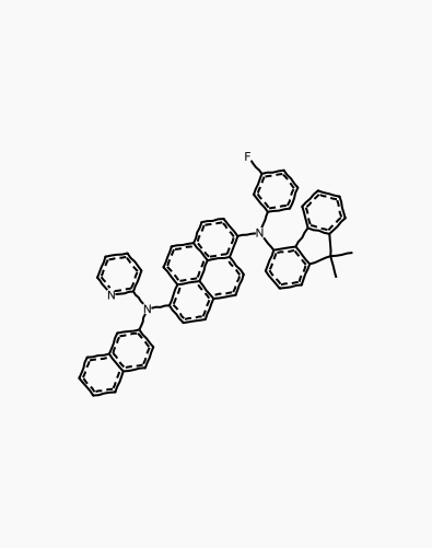 CC1(C)c2ccccc2-c2c(N(c3cccc(F)c3)c3ccc4ccc5c(N(c6ccc7ccccc7c6)c6ccccn6)ccc6ccc3c4c65)cccc21